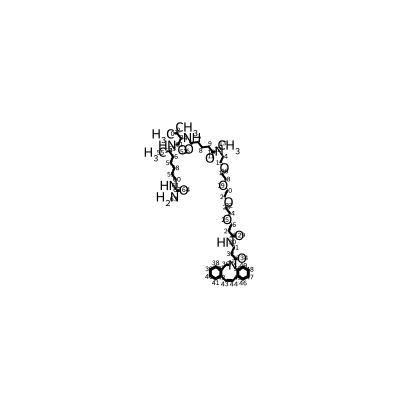 CC(C)[C@H](NC(=O)CCCC(=O)N(C)CCOCCOCCOCCOCCC(=O)NCCC(=O)N1Cc2ccccc2/C=C\c2ccccc21)C(=O)N[C@H](C)CCCCCNC(N)=O